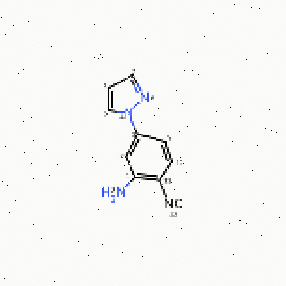 Nc1cc(-n2cccn2)ccc1N=O